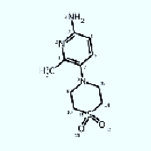 Cc1nc(N)ccc1N1CCS(=O)(=O)CC1